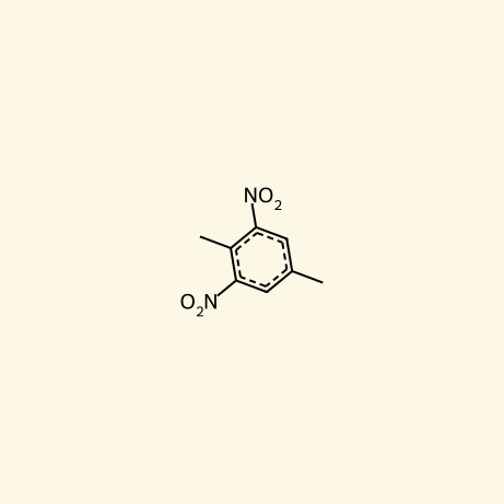 Cc1cc([N+](=O)[O-])c(C)c([N+](=O)[O-])c1